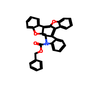 O=C(OCc1ccccc1)n1c2ccccc2c2c3c4ccccc4oc3c3c4ccccc4oc3c21